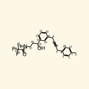 Cc1ccc(CC#CCc2cccc(C(O)CCNC(=O)C(F)(F)F)c2)cc1